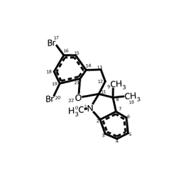 CN1c2ccccc2C(C)(C)C12CCc1cc(Br)cc(Br)c1O2